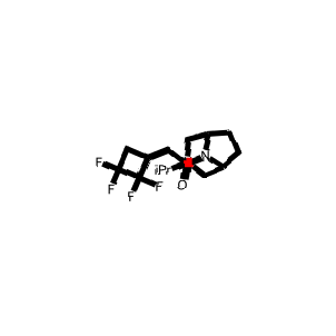 CC(C)N1CC2CCC(C1)N2C(=O)CC1CC(F)(F)C1(F)F